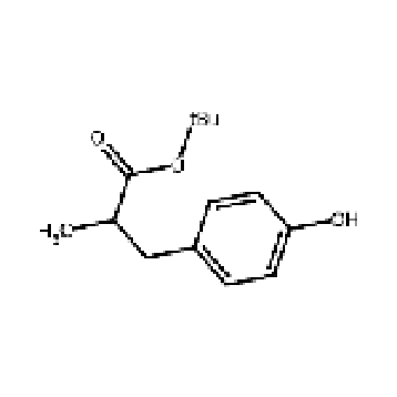 CC(Cc1ccc(O)cc1)C(=O)OC(C)(C)C